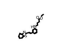 CCOC(=O)CCCNc1cccc(C=Cc2nc3ccccc3s2)c1